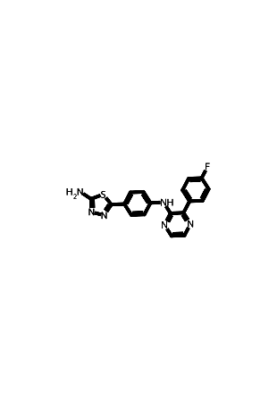 Nc1nnc(-c2ccc(Nc3nccnc3-c3ccc(F)cc3)cc2)s1